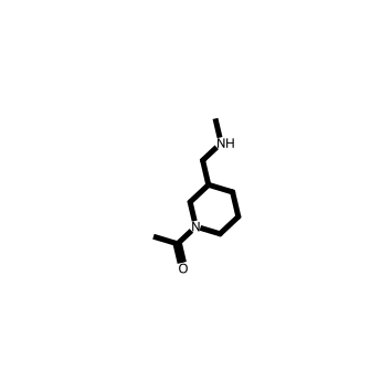 CNCC1CCCN(C(C)=O)C1